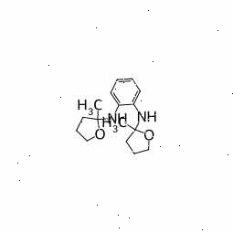 CC1(Nc2ccccc2NC2(C)CCCO2)CCCO1